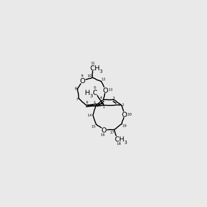 Cc1c2cc3c(c1CCOC(C)CO3)CCOC(C)CO2